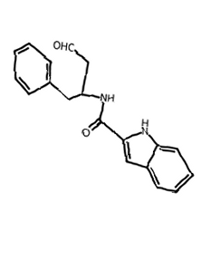 O=CCC(Cc1ccccc1)NC(=O)c1cc2ccccc2[nH]1